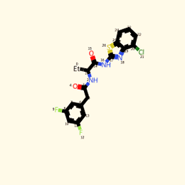 CCC(NC(=O)Cc1cc(F)cc(F)c1)C(=O)Nc1nc2c(Cl)cccc2s1